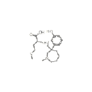 CCC1(c2cccc(O)c2)CCCCN(C)C1.CSCCC(N)C(=O)O